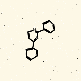 [c]1c(-c2ccccc2)ccnc1-c1ccccc1